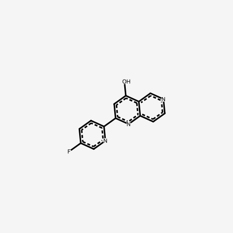 Oc1cc(-c2ccc(F)cn2)nc2ccncc12